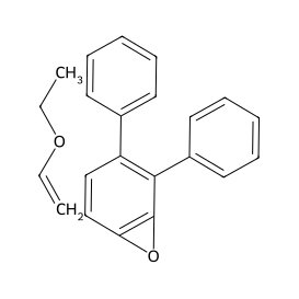 C=COCC.c1ccc(-c2ccc3c(c2-c2ccccc2)O3)cc1